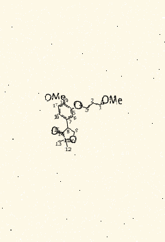 COCCCOc1cc(C2COC(C)(C)C2=O)ccc1OC